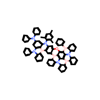 Cc1cc(C)c(N2c3cc4c(cc3B3c5ccccc5N(c5ccccc5)c5cc(N(c6ccccc6)c6ccccc6)cc2c53)B2c3ccccc3N3c5ccccc5B5c6ccccc6N6c7ccccc7B(c7ccccc7)c7c(c2c3c5c76)O4)c(C)c1